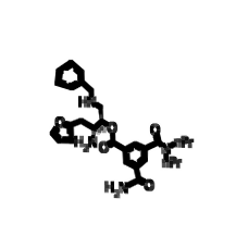 CCCN(CCC)C(=O)c1cc(C(N)=O)cc(C(=O)O[C@H](CNCc2ccccc2)[C@H](N)Cc2ccco2)c1